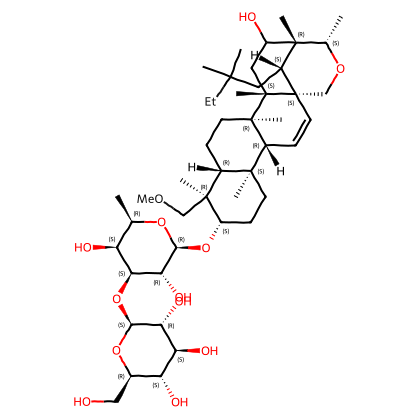 CCC(C)(C)C[C@@H]1[C@]2(C)C(O)C[C@]3(C)[C@@]1(C=C[C@@H]1[C@@]4(C)CC[C@H](O[C@@H]5O[C@H](C)[C@H](O)[C@H](O[C@@H]6O[C@H](CO)[C@@H](O)[C@H](O)[C@H]6O)[C@H]5O)[C@@](C)(COC)[C@@H]4CC[C@]13C)CO[C@H]2C